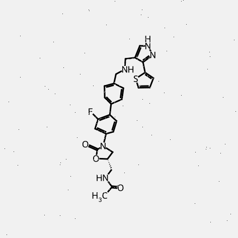 CC(=O)NC[C@H]1CN(c2ccc(-c3ccc(CNCc4c[nH]nc4-c4cccs4)cc3)c(F)c2)C(=O)O1